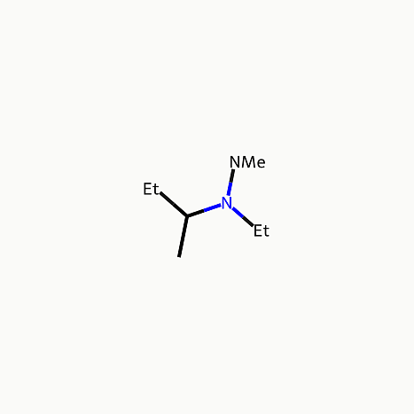 CCC(C)N(CC)NC